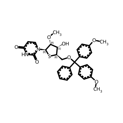 COc1ccc(C(OC[C@H]2S[C@@H](n3ccc(=O)[nH]c3=O)[C@H](OC)[C@@H]2O)(c2ccccc2)c2ccc(OC)cc2)cc1